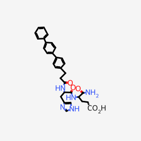 NC(=O)C(CCC(=O)O)NC(=O)C(Cc1c[nH]cn1)NC(=O)CCc1ccc(-c2ccc(-c3ccccc3)cc2)cc1